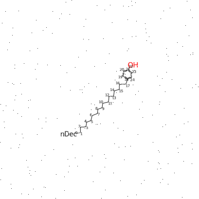 CCCCCCCCCCCCCCCCCCCCCCCCCCCc1ccc(O)cc1